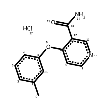 Cc1cccc(Oc2ccncc2C(N)=O)c1.Cl